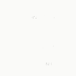 NCC(=O)c1cccc(NC2CO2)c1